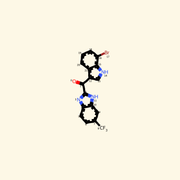 O=C(c1nc2ccc(C(F)(F)F)cc2[nH]1)c1c[nH]c2c(Br)cccc12